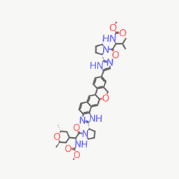 COC(=O)N[C@H](C(=O)N1[C@@H](C)CC[C@H]1c1ncc(-c2ccc3c(c2)COC2C=c4c(ccc5nc([C@@H]6CCCN6C(=O)[C@@H](NC(=O)OC)C6C[C@@H](C)O[C@H](C)C6)[nH]c45)=CC32)[nH]1)C(C)C